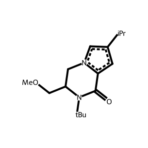 COCC1Cn2cc(C(C)C)cc2C(=O)N1C(C)(C)C